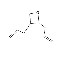 C=CCC1COC1CC=C